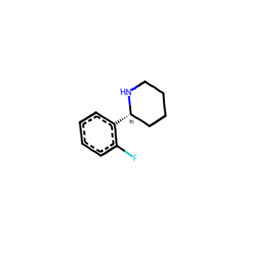 Fc1ccccc1[C@H]1CCCCN1